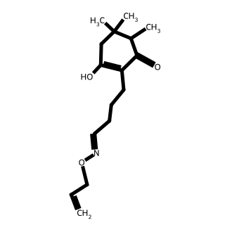 C=CCON=CCCCC1=C(O)CC(C)(C)C(C)C1=O